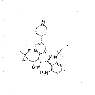 CC(C)(C)n1nc(-c2noc(C3CC3(F)F)c2-c2ncc(C3CCNCC3)cn2)c2c(N)ncnc21